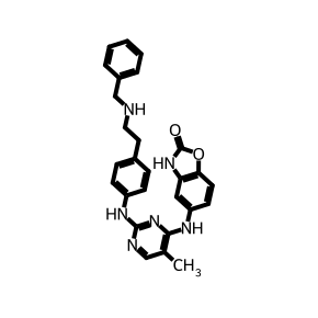 Cc1cnc(Nc2ccc(CCNCc3ccccc3)cc2)nc1Nc1ccc2oc(=O)[nH]c2c1